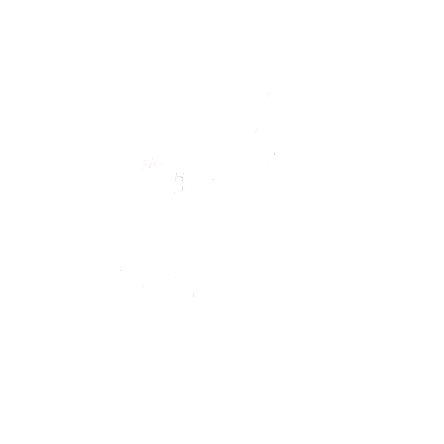 O[SiH](c1cccc(F)c1)c1cccc(F)c1